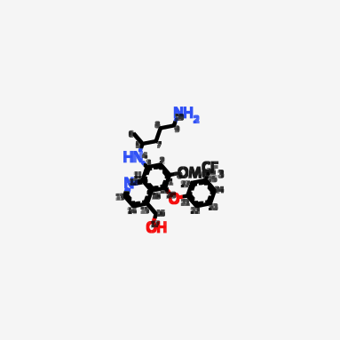 COc1cc(NC(C)CCCN)c2nccc(CO)c2c1Oc1cccc(C(F)(F)F)c1